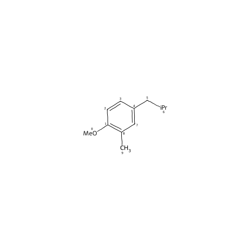 COc1ccc(CC(C)C)cc1C